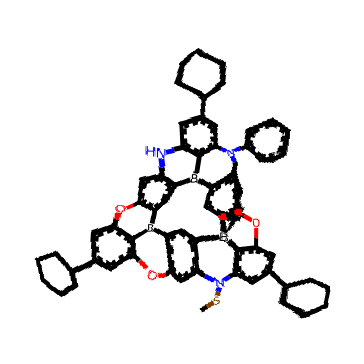 CSN1c2cc3c(cc2B2c4ccccc4Oc4cc(C5CCCCC5)cc1c42)B1c2cc4c(cc2Oc2cc(C5CCCCC5)cc(c21)O3)Nc1cc(C2CCCCC2)cc2c1B4c1ccccc1N2c1ccccc1